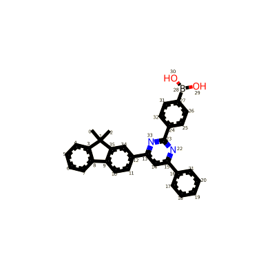 CC1(C)c2ccccc2-c2ccc(-c3cc(-c4ccccc4)nc(-c4ccc(B(O)O)cc4)n3)cc21